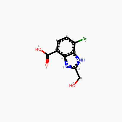 O=C(O)c1ccc(Br)c2[nH]c(CO)nc12